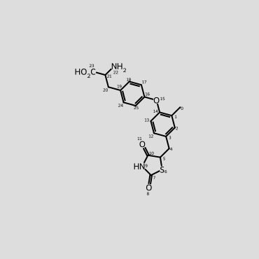 Cc1cc(CC2SC(=O)NC2=O)ccc1Oc1ccc(CC(N)C(=O)O)cc1